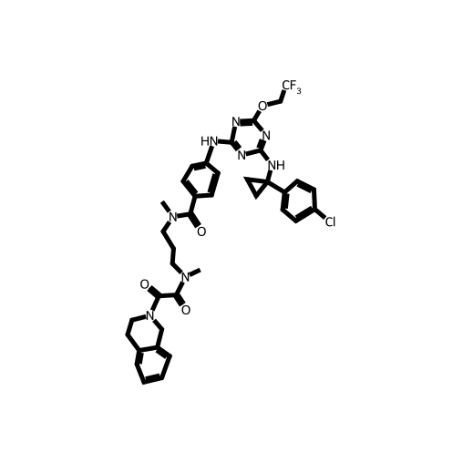 CN(CCCN(C)C(=O)c1ccc(Nc2nc(NC3(c4ccc(Cl)cc4)CC3)nc(OCC(F)(F)F)n2)cc1)C(=O)C(=O)N1CCc2ccccc2C1